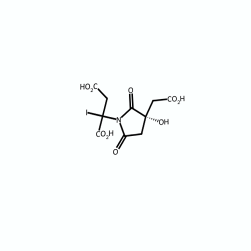 O=C(O)CC(I)(C(=O)O)N1C(=O)C[C@](O)(CC(=O)O)C1=O